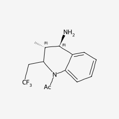 CC(=O)N1c2ccccc2[C@H](N)[C@@H](C)C1CC(F)(F)F